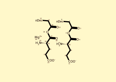 CCCCCCCCCCCC(=O)OC(=O)[C@@H](N)CCC(=O)[O-].CCCCCCCCCCCC(=O)OC(=O)[C@@H](N)CCC(=O)[O-].[Mg+2]